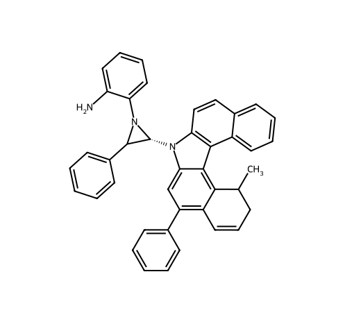 CC1CC=Cc2c(-c3ccccc3)cc3c(c21)c1c2ccccc2ccc1n3[C@@H]1C(c2ccccc2)N1c1ccccc1N